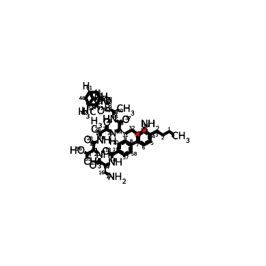 CCCCc1ccc(-c2ccc(C(=O)N[C@@H](CN)C(=O)N[C@H](C(=O)N[C@@H](C)C(=O)N[C@@H](CCCCN)C(=O)N[C@@H](C)B3OC4C[C@@H]5C[C@@H](C5(C)C)[C@]4(C)O3)C(C)O)cc2)cc1